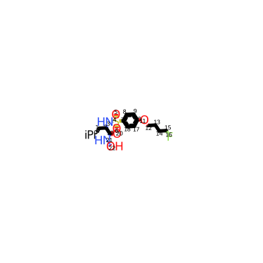 CC(C)CC(NS(=O)(=O)c1ccc(OCCCCF)cc1)C(=O)NO